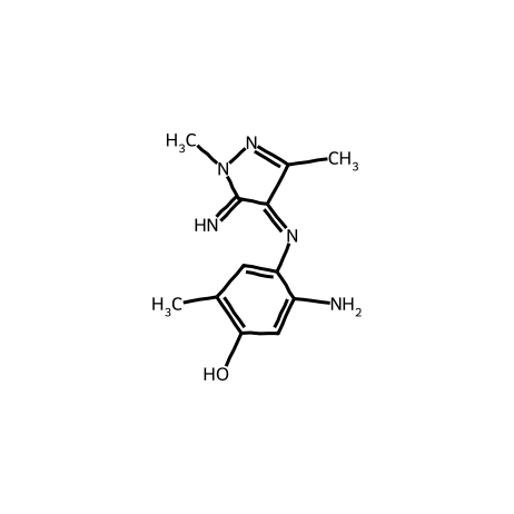 CC1=NN(C)C(=N)C1=Nc1cc(C)c(O)cc1N